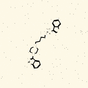 O=S(=O)(NCCCCN1CCN(c2noc3ccccc23)CC1)c1csc2ccccc12